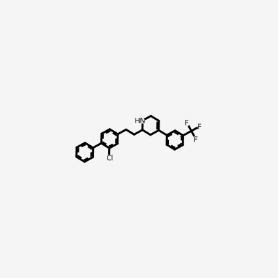 FC(F)(F)c1cccc(C2=CCNC(CCc3ccc(-c4ccccc4)c(Cl)c3)C2)c1